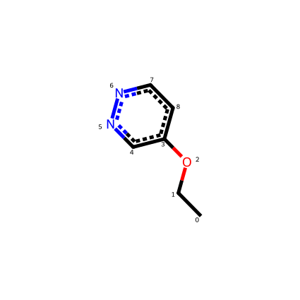 CCOc1[c]nncc1